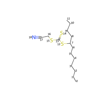 CCCCCCCC(CCCC)SC(=S)SCC#N